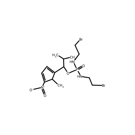 CC1C(C(OP(=O)(NCCBr)NCCBr)C(C)C)=CC=C1[N+](=O)[O-]